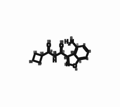 Nc1cccc2onc(C(=O)NC(=O)C3CCC3)c12